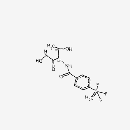 C=S(F)(F)(F)c1ccc(C(=O)N[C@H](C(=O)NO)[C@@H](C)O)cc1